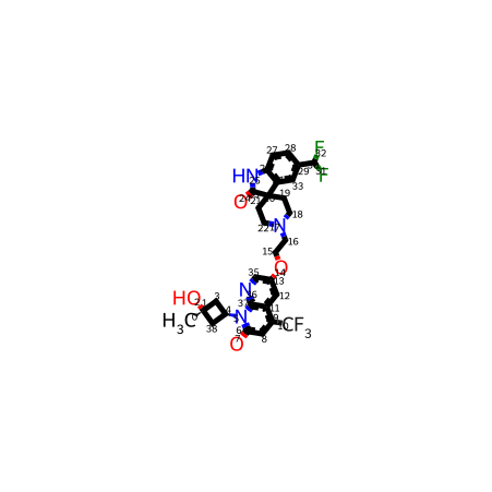 C[C@]1(O)C[C@@H](n2c(=O)cc(C(F)(F)F)c3cc(OCCN4CCC5(CC4)C(=O)Nc4ccc(C(F)F)cc45)cnc32)C1